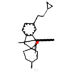 COC1CCC2(CC1)Cc1ccc(CCC3CC3)cc1C21NC(=S)NC1O